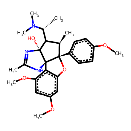 COc1ccc([C@@]23Oc4cc(OC)cc(OC)c4[C@@]24NC(C)=N[C@@]4(O)C([C@@H](C)N(C)C)[C@H]3C)cc1